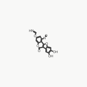 N=COc1cc(N=O)c2c(c1)oc(=O)c1c3cc(O)c(O)cc3oc21